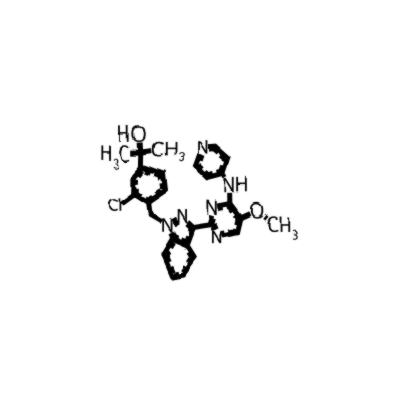 COc1cnc(-c2nn(Cc3ccc(C(C)(C)O)cc3Cl)c3ccccc23)nc1Nc1ccncc1